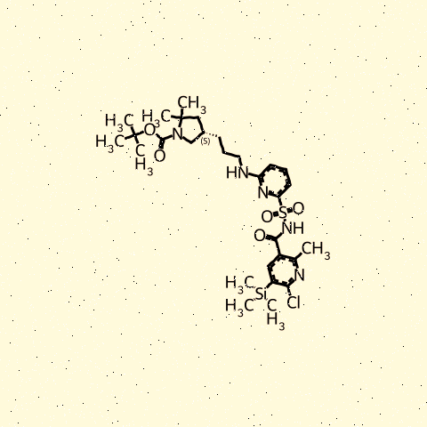 Cc1nc(Cl)c([Si](C)(C)C)cc1C(=O)NS(=O)(=O)c1cccc(NCCC[C@@H]2CN(C(=O)OC(C)(C)C)C(C)(C)C2)n1